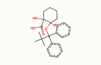 CC(C)(C)[Si](OC1(O)CCCCC1(O)C(=O)O)(c1ccccc1)c1ccccc1